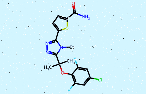 CCn1c(-c2ccc(C(N)=O)s2)nnc1C(C)(C)Oc1c(F)cc(Cl)cc1F